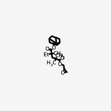 CCC(C)(CC(C)(C)C(=O)OCC1CO1)C(=O)OC12CC3CC(CC(C3)C1)C2